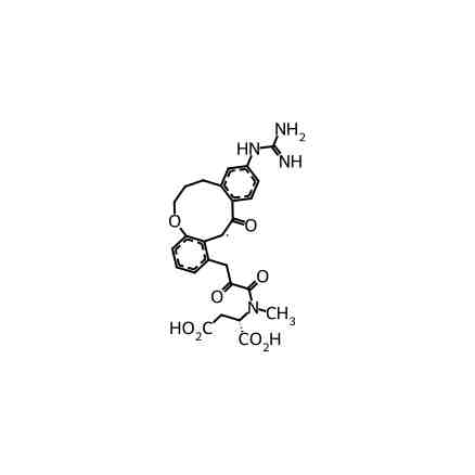 CN(C(=O)C(=O)Cc1cccc2c1[CH]C(=O)c1ccc(NC(=N)N)cc1CCCO2)[C@@H](CC(=O)O)C(=O)O